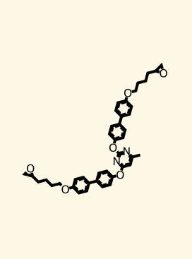 Cc1cc(Oc2ccc(-c3ccc(OCCCCC4CO4)cc3)cc2)nc(Oc2ccc(-c3ccc(OCCCCC4CO4)cc3)cc2)n1